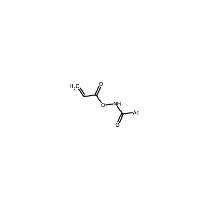 C=CC(=O)ONC(=O)C(C)=O